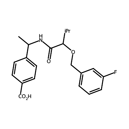 CC(NC(=O)C(OCc1cccc(F)c1)C(C)C)c1ccc(C(=O)O)cc1